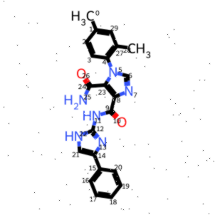 Cc1ccc(-n2cnc(C(=O)Nc3nc(-c4ccccc4)c[nH]3)c2C(N)=O)c(C)c1